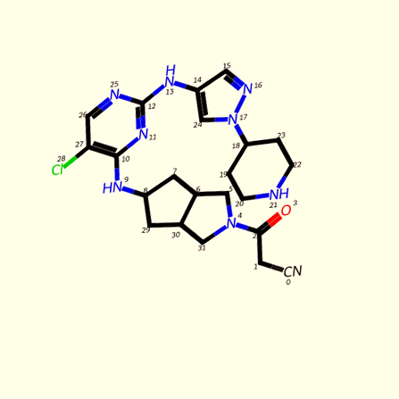 N#CCC(=O)N1CC2CC(Nc3nc(Nc4cnn(C5CCNCC5)c4)ncc3Cl)CC2C1